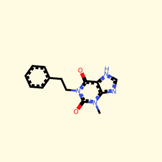 Cn1c(=O)n(CCc2ccccc2)c(=O)c2[nH]cnc21